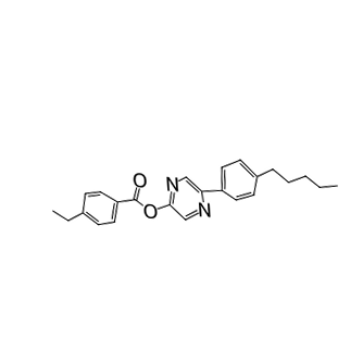 CCCCCc1ccc(-c2cnc(OC(=O)c3ccc(CC)cc3)cn2)cc1